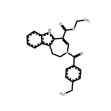 CCOC(=O)C1=CN(C(=O)c2ccc(CC)cc2)CCc2c1[nH]c1ccccc21